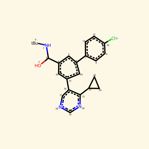 CC(C)(C)NC(O)c1cc(-c2ccc(Cl)cc2)cc(-c2cncnc2C2CC2)c1